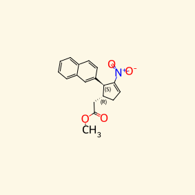 COC(=O)C[C@H]1CC=C([N+](=O)[O-])[C@@H]1c1ccc2ccccc2c1